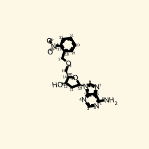 Nc1ncnc2c1ncn2[C@H]1C[C@H](O)[C@@H](COCc2ccccc2[N+](=O)[O-])O1